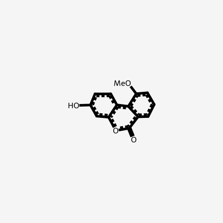 COc1cccc2c(=O)oc3cc(O)ccc3c12